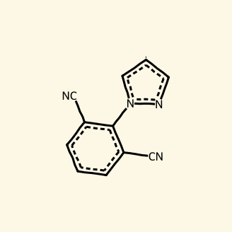 N#Cc1cccc(C#N)c1-n1c[c]cn1